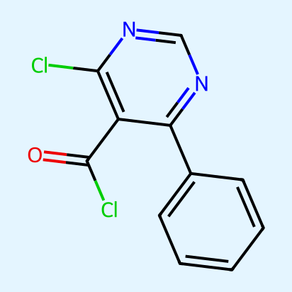 O=C(Cl)c1c(Cl)ncnc1-c1ccccc1